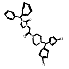 O=C(CN1CCN(C(c2ccccc2)c2ccccc2)C1=O)N1CCN(C(c2ccc(Cl)cc2)c2ccc(Cl)cc2)CC1